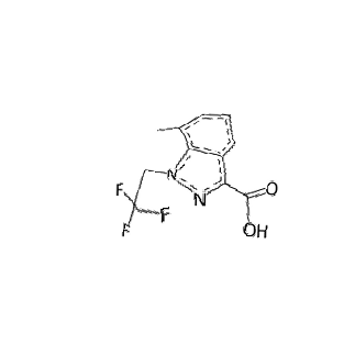 Cc1cccc2c(C(=O)O)nn(CC(F)(F)F)c12